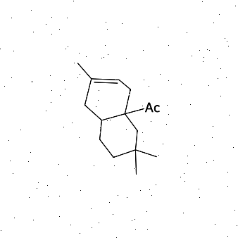 CC(=O)C12CC=C(C)CC1CCC(C)(C)C2